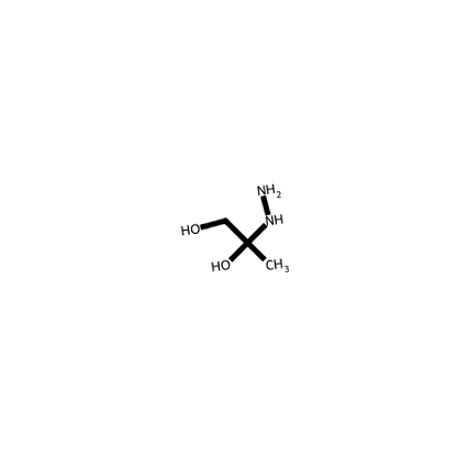 CC(O)(CO)NN